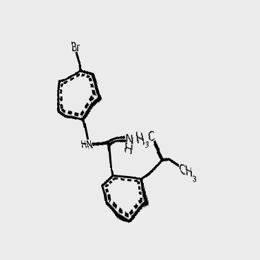 CC(C)c1ccccc1C(=N)Nc1ccc(Br)cc1